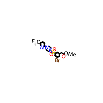 COC(=O)Cc1cc(Br)cc(S(=O)(=O)N2CCN(c3ccc(C(F)(F)F)cn3)CC2)c1